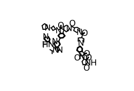 CC(C)n1cnc2cc(-c3ccc4c(c3)N([C@H]3C[C@@H](N5CCCCC5)C3)C(=O)C43CCN(C(=O)C4CCN(C(=O)C5CCN(c6ccc7c(c6)C(=O)N(C6CCC(=O)NC6=O)C7=O)CC5)CC4)CC3)nc(Nc3ccncc3F)c21